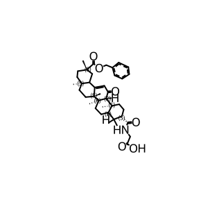 CC1(C)[C@@H](C(=O)NCC(=O)O)CC[C@]2(C)[C@H]3C(=O)C=C4C5C[C@@](C)(C(=O)OCc6ccccc6)CC[C@]5(C)CC[C@@]4(C)[C@]3(C)CC[C@@H]12